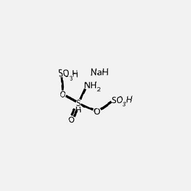 N[SH](=O)(OS(=O)(=O)O)OS(=O)(=O)O.[NaH]